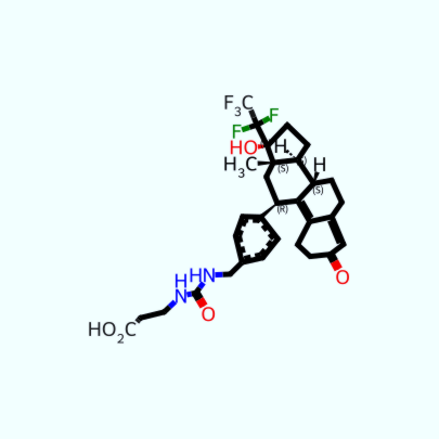 C[C@]12C[C@H](c3ccc(CNC(=O)NCCC(=O)O)cc3)C3=C4CCC(=O)C=C4CC[C@H]3[C@@H]1CC[C@@]2(O)C(F)(F)C(F)(F)F